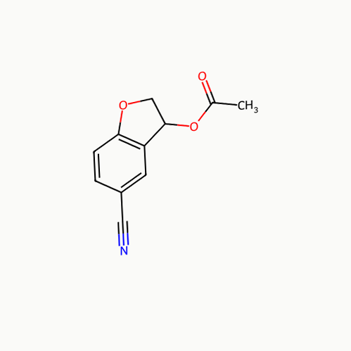 CC(=O)OC1COc2ccc(C#N)cc21